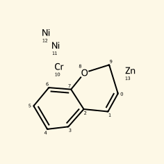 C1=Cc2ccccc2OC1.[Cr].[Ni].[Ni].[Zn]